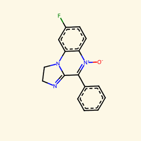 [O-][N+]1=C(c2ccccc2)C2=NCCN2c2cc(F)ccc21